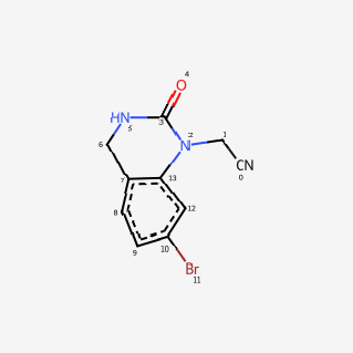 N#CCN1C(=O)NCc2ccc(Br)cc21